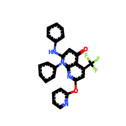 O=c1cc(Nc2ccccc2)n(-c2ccccc2)c2nc(Oc3ccccn3)cc(C(F)(F)F)c12